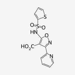 O=C(O)c1c(-c2ccccn2)noc1NS(=O)(=O)c1cccs1